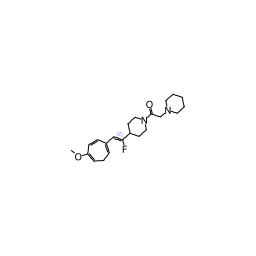 COC1=CCC=C(/C=C(\F)C2CCN(C(=O)CN3CCCCC3)CC2)C=C1